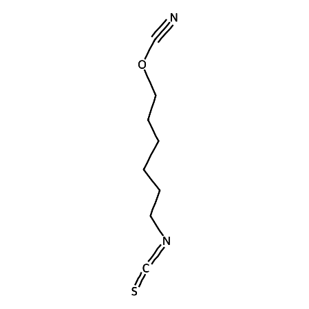 N#COCCCCCCN=C=S